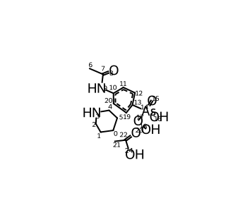 C1CCNCC1.CC(=O)Nc1ccc([As](=O)(O)OO)cc1.CC(=O)O